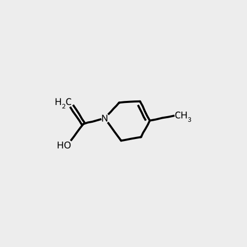 C=C(O)N1CC=C(C)CC1